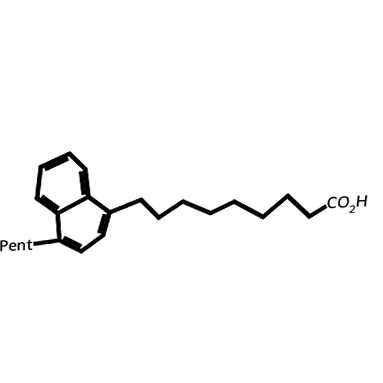 CCCCCc1ccc(CCCCCCCCC(=O)O)c2ccccc12